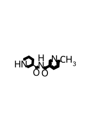 Cc1ccc(C(=O)NC(=O)[C@@H]2CCCNC2)cn1